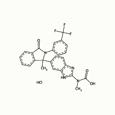 CN(C(=O)O)c1nc2ccc(C3(C)c4ccccc4C(=O)N3c3cccc(C(F)(F)F)c3)cc2[nH]1.Cl